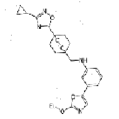 CCOc1ncc(-c2cccc(NCC34CCC(c5nc(C6CC6)no5)(CC3)CC4)c2)o1